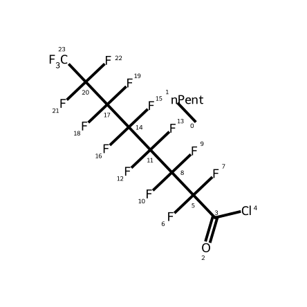 CCCCCC.O=C(Cl)C(F)(F)C(F)(F)C(F)(F)C(F)(F)C(F)(F)C(F)(F)C(F)(F)F